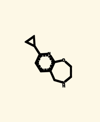 c1cc2c(nc1C1CC1)OCCNC2